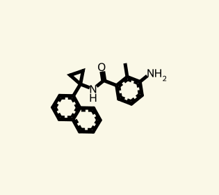 Cc1c(N)cccc1C(=O)NC1(c2cccc3ccccc23)CC1